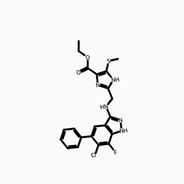 CCOC(=O)c1nc(CNc2n[nH]c3c(F)c(Cl)c(-c4ccccc4)cc23)[nH]c1SC